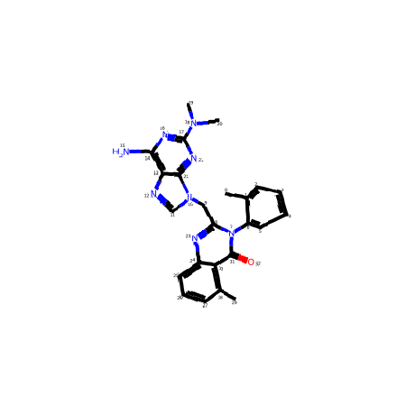 Cc1ccccc1-n1c(Cn2cnc3c(N)nc(N(C)C)nc32)nc2cccc(C)c2c1=O